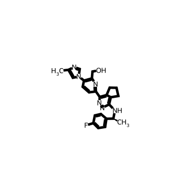 Cc1cn(-c2ccc(-c3nnc(N[C@@H](C)c4ccc(F)cc4)c4c3CCC4)nc2CO)cn1